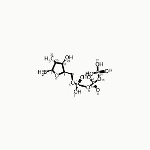 B[C@@H]1O[C@H](COP(=O)(O)OP(=O)(O)OP(=O)(O)O)[C@H](O)C1C